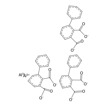 O=C([O-])c1cccc(-c2ccccc2)c1C(=O)[O-].O=C([O-])c1cccc(-c2ccccc2)c1C(=O)[O-].O=C([O-])c1cccc(-c2ccccc2)c1C(=O)[O-].[Al+3].[Al+3]